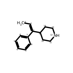 C/C=C(\c1ccccc1)C1CCNCC1